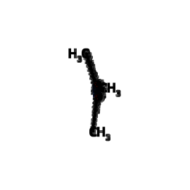 CCCCCCCCCCCCCCCCCCCN1C=CN(CCCCCCCCCCCCCCCCCC)C1(Cc1ccccc1)C(CC)c1ccccc1